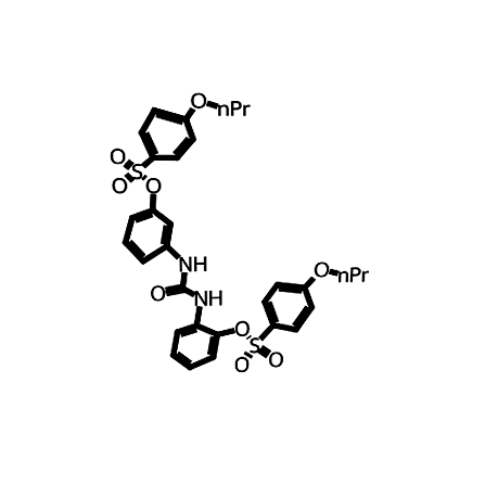 CCCOc1ccc(S(=O)(=O)Oc2cccc(NC(=O)Nc3ccccc3OS(=O)(=O)c3ccc(OCCC)cc3)c2)cc1